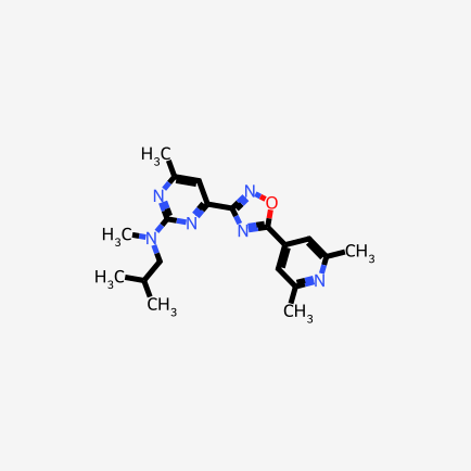 Cc1cc(-c2nc(-c3cc(C)nc(N(C)CC(C)C)n3)no2)cc(C)n1